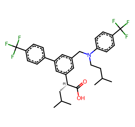 CC(C)CCN(Cc1cc(-c2ccc(C(F)(F)F)cc2)cc([C@@H](CC(C)C)C(=O)O)c1)c1ccc(C(F)(F)F)cc1